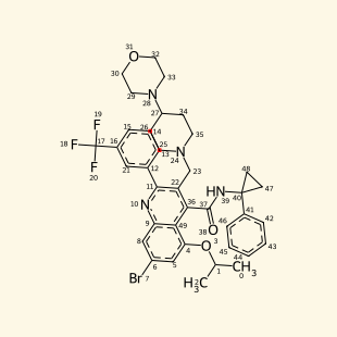 CC(C)Oc1cc(Br)cc2nc(-c3cccc(C(F)(F)F)c3)c(CN3CCC(N4CCOCC4)CC3)c(C(=O)NC3(c4ccccc4)CC3)c12